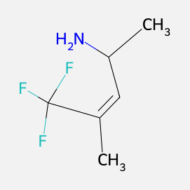 CC(=CC(C)N)C(F)(F)F